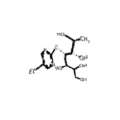 CCc1cnc(O[C@H]([C@@H](O)[C@H](C)O)[C@H](O)C(O)CO)nc1